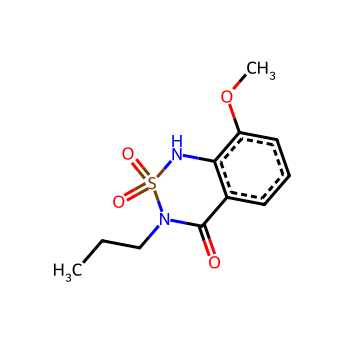 CCCN1C(=O)c2cccc(OC)c2NS1(=O)=O